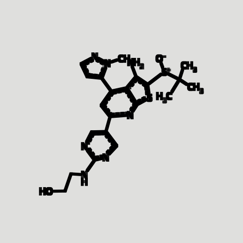 Cn1nccc1-c1cc(-c2cnc(NCCO)nc2)nc2sc([S+]([O-])C(C)(C)C)c(N)c12